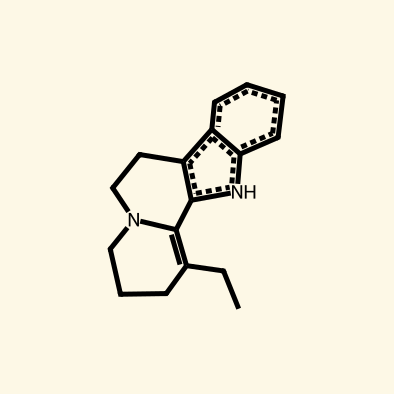 CCC1=C2c3[nH]c4ccccc4c3CCN2CCC1